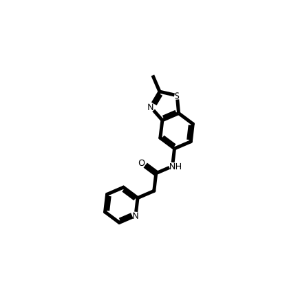 Cc1nc2cc(NC(=O)Cc3ccccn3)ccc2s1